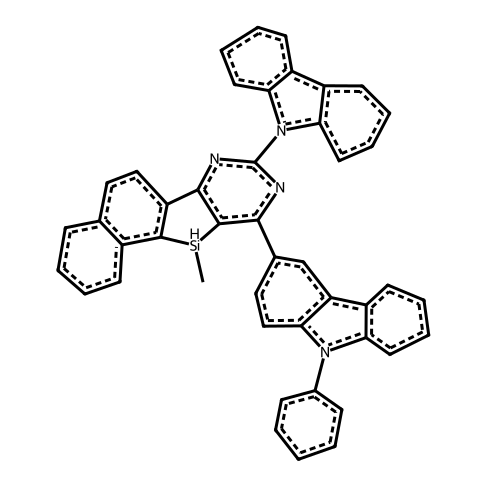 C[SiH]1c2c(-c3ccc4c(c3)c3ccccc3n4-c3ccccc3)nc(-n3c4ccccc4c4ccccc43)nc2-c2ccc3ccccc3c21